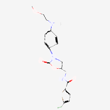 CCOCCN(C=O)c1ccc(N2CC(CNC(=O)c3ccc(Cl)s3)OC2=O)cc1